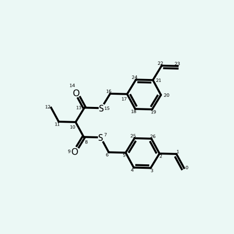 C=Cc1ccc(CSC(=O)C(CC)C(=O)SCc2cccc(C=C)c2)cc1